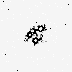 O=C(O)c1cc(F)ccc1Nc1c(C2CCC(F)(F)CC2)cnc2ccc(Br)cc12